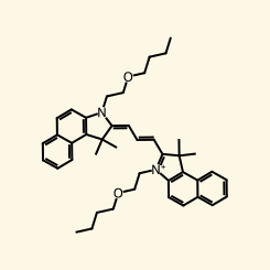 CCCCOCCN1/C(=C/C=C/C2=[N+](CCOCCCC)c3ccc4ccccc4c3C2(C)C)C(C)(C)c2c1ccc1ccccc21